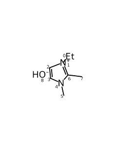 CC[n+]1ccn(C)c1C.[OH-]